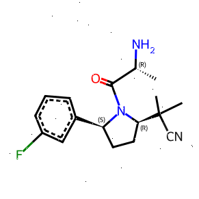 C[C@@H](N)C(=O)N1[C@H](c2cccc(F)c2)CC[C@@H]1C(C)(C)C#N